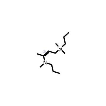 CCCN(C)/C(C)=C\C[Si](C)(C)CCC